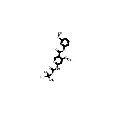 COc1cccc(NC(=O)c2cnc(NC(=O)OC(C)(C)C)cc2OC)n1